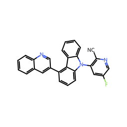 N#Cc1ncc(F)cc1-n1c2ccccc2c2c(-c3cnc4ccccc4c3)cccc21